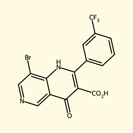 O=C(O)c1c(-c2cccc(C(F)(F)F)c2)[nH]c2c(Br)cncc2c1=O